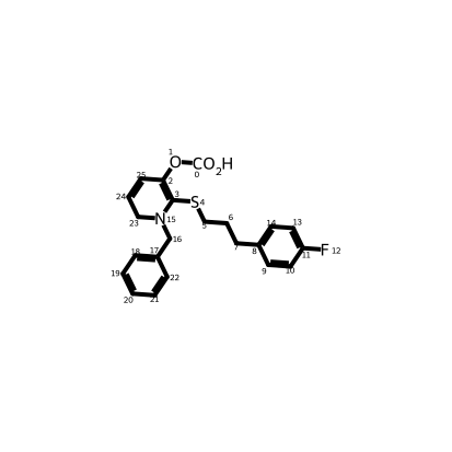 O=C(O)OC1=C(SCCCc2ccc(F)cc2)N(Cc2ccccc2)CC=C1